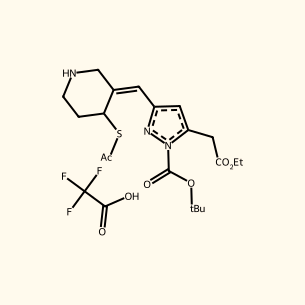 CCOC(=O)Cc1cc(C=C2CNCCC2SC(C)=O)nn1C(=O)OC(C)(C)C.O=C(O)C(F)(F)F